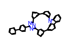 c1ccc(-c2ccc(-c3nc4nc(n3)-c3cccc(c3)-c3ccc5c6ccccc6n(c5c3)-c3cccc(c3)-c3cccc-4c3)cc2)cc1